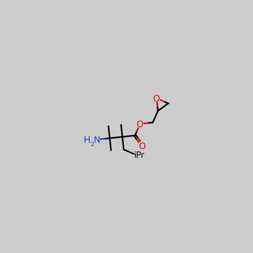 CC(C)CC(C)(C(=O)OCC1CO1)C(C)(C)N